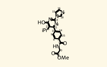 COC(=O)CNC(=O)c1ccc(-c2nc(-n3ccnc3)nc(O)c2C(C)C)cc1